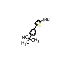 CC(C)(C)c1ccc(-c2ccc(C(C)(C)C#N)cc2)s1